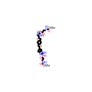 COC(=O)NCCC(=O)Pc1ncc(-c2cc3cc4sc(-c5ccc6nc(PC(=O)CCNC(=O)OC)[nH]c6c5)cc4cc3s2)[nH]1